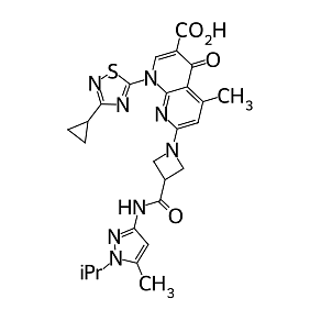 Cc1cc(N2CC(C(=O)Nc3cc(C)n(C(C)C)n3)C2)nc2c1c(=O)c(C(=O)O)cn2-c1nc(C2CC2)ns1